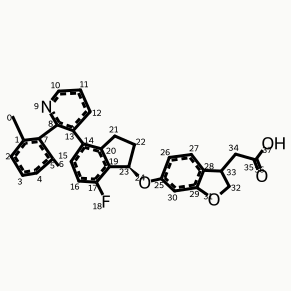 Cc1cccc(C)c1-c1ncccc1-c1ccc(F)c2c1CC[C@H]2Oc1ccc2c(c1)OCC2CC(=O)O